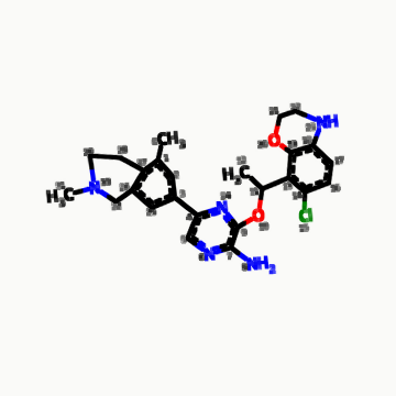 Cc1cc(-c2cnc(N)c(OC(C)c3c(Cl)ccc4c3OCCN4)n2)cc2c1CCN(C)C2